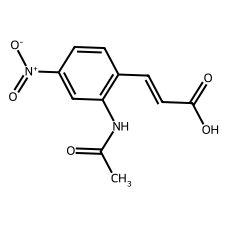 CC(=O)Nc1cc([N+](=O)[O-])ccc1C=CC(=O)O